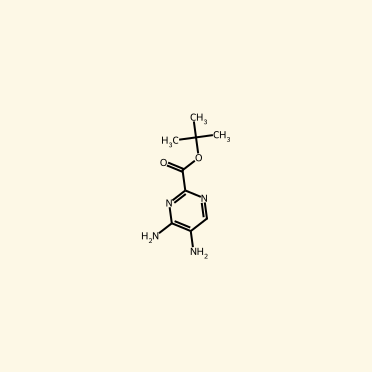 CC(C)(C)OC(=O)c1ncc(N)c(N)n1